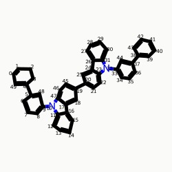 C1=CCCC(c2cccc(-n3c4ccccc4c4cc(-c5ccc6c(c5)c5ccccc5n6-c5cccc(-c6ccccc6)c5)ccc43)c2)=C1